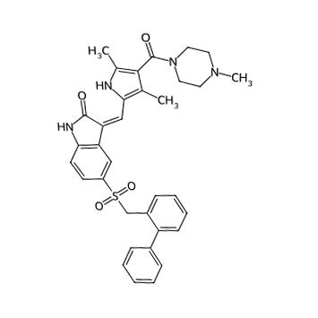 Cc1[nH]c(/C=C2\C(=O)Nc3ccc(S(=O)(=O)Cc4ccccc4-c4ccccc4)cc32)c(C)c1C(=O)N1CCN(C)CC1